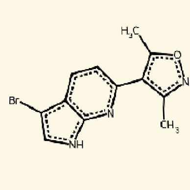 Cc1noc(C)c1-c1ccc2c(Br)c[nH]c2n1